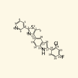 Cc1sc(-c2cccnc2)nc1-c1ccc2[nH]c(-c3ccc(F)cc3Cl)cc2c1